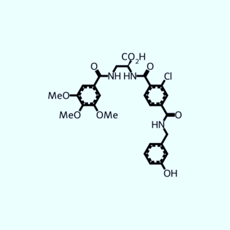 COc1cc(C(=O)NC[C@H](NC(=O)c2ccc(C(=O)NCc3cccc(O)c3)cc2Cl)C(=O)O)cc(OC)c1OC